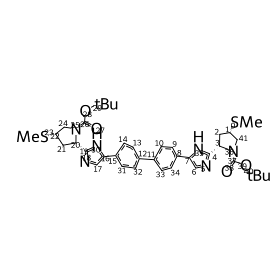 CS[C@H]1C[C@@H](c2ncc(-c3ccc(-c4ccc(-c5cnc([C@@H]6C[C@H](SC)CN6C(=O)OC(C)(C)C)[nH]5)cc4)cc3)[nH]2)N(C(=O)OC(C)(C)C)C1